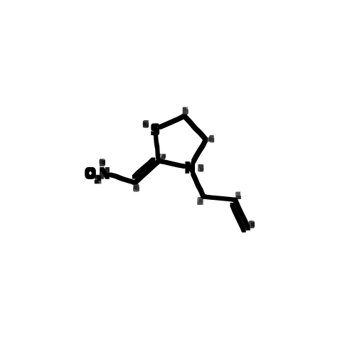 C=CCN1CCSC1=C[N+](=O)[O-]